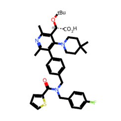 Cc1nc(C)c([C@H](OC(C)(C)C)C(=O)O)c(N2CCC(C)(C)CC2)c1-c1ccc(CN(Cc2ccc(F)cc2)C(=O)c2cccs2)cc1